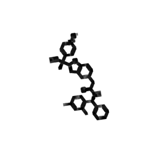 Cc1ccc([C@@H](NC(=O)Cc2ccc3oc([C@](C)(O)c4cc[n+]([O-])cc4)cc3c2)c2ccccc2)c(C)c1